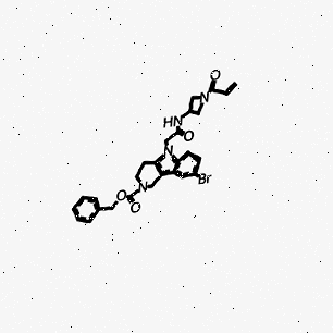 C=CC(=O)N1CC(NC(=O)Cn2c3c(c4cc(Br)ccc42)CN(C(=O)OCc2ccccc2)CC3)C1